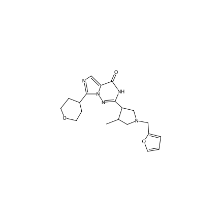 CC1CN(Cc2ccco2)CC1c1nn2c(C3CCOCC3)ncc2c(=O)[nH]1